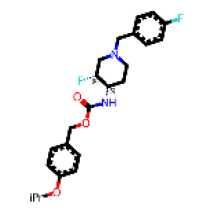 CC(C)Oc1ccc(COC(=O)N[C@H]2CCN(Cc3ccc(F)cc3)C[C@H]2F)cc1